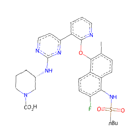 CCCCS(=O)(=O)Nc1c(F)ccc2c(Oc3ncccc3-c3ccnc(N[C@H]4CCCN(C(=O)O)C4)n3)c(C)ccc12